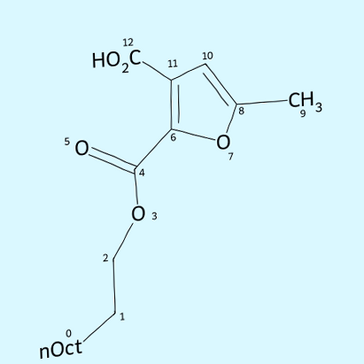 CCCCCCCCCCOC(=O)c1oc(C)cc1C(=O)O